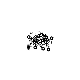 CCC1O[C@@H](O[C@@H]2C(OC(=O)c3ccccc3)[C@H](OCCCN=[N+]=[N-])OC(COC(=O)c3ccccc3)[C@@H]2O[C@@H]2OC(COCc3ccccc3)[C@@H](O[C@@H]3OC(COCc4ccccc4)[C@H](OCc4ccccc4)[C@H](C)C3OCc3ccccc3)[C@H](C)C2C)C(C)[C@H](C)[C@@H]1O